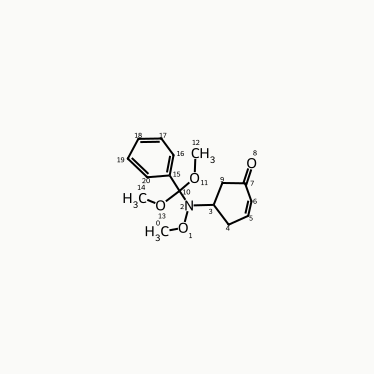 CON(C1CC=CC(=O)C1)C(OC)(OC)c1ccccc1